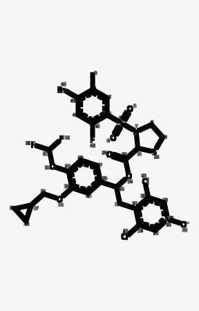 Cc1cc(S(=O)(=O)N2CCSC2C(=O)OC(Cc2c(Cl)c[n+]([O-])cc2Cl)c2ccc(OC(F)F)c(OCC3CC3)c2)c(F)cc1Br